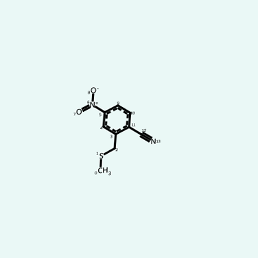 CSCc1cc([N+](=O)[O-])ccc1C#N